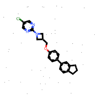 Clc1cnc(N2CC(COc3ccc(-c4ccc5c(c4)CCC5)cc3)C2)nc1